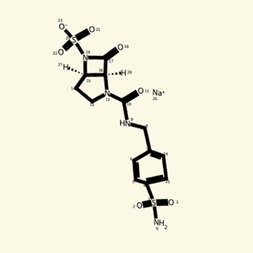 NS(=O)(=O)c1ccc(CNC(=O)N2CC[C@@H]3[C@H]2C(=O)N3S(=O)(=O)[O-])cc1.[Na+]